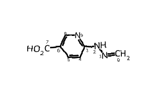 C=NNc1ccc(C(=O)O)cn1